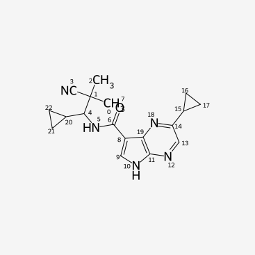 CC(C)(C#N)C(NC(=O)c1c[nH]c2ncc(C3CC3)nc12)C1CC1